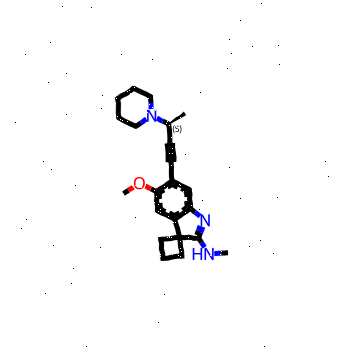 CNC1=Nc2cc(C#C[C@H](C)N3CCCCC3)c(OC)cc2C12CCC2